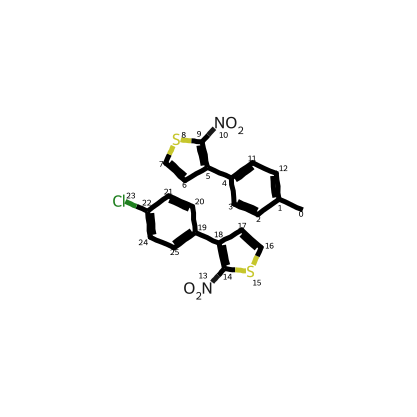 Cc1ccc(-c2ccsc2[N+](=O)[O-])cc1.O=[N+]([O-])c1sccc1-c1ccc(Cl)cc1